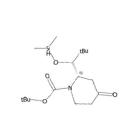 C[SiH](C)OC([C@@H]1CC(=O)CCN1C(=O)OC(C)(C)C)C(C)(C)C